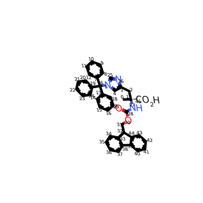 C[C@@](Cc1cn(C(c2ccccc2)(c2ccccc2)c2ccccc2)cn1)(NC(=O)OCC1c2ccccc2-c2ccccc21)C(=O)O